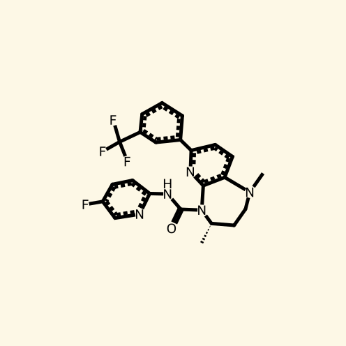 C[C@H]1CCN(C)c2ccc(-c3cccc(C(F)(F)F)c3)nc2N1C(=O)Nc1ccc(F)cn1